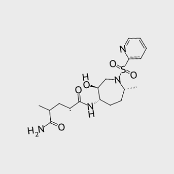 CC(C[CH]C(=O)N[C@H]1CC[C@@H](C)N(S(=O)(=O)c2ccccn2)C[C@@H]1O)C(N)=O